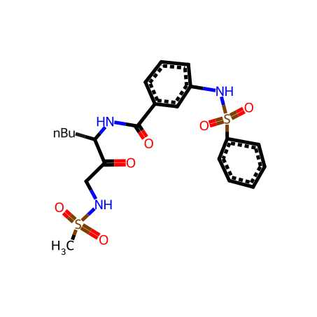 CCCCC(NC(=O)c1cccc(NS(=O)(=O)c2ccccc2)c1)C(=O)CNS(C)(=O)=O